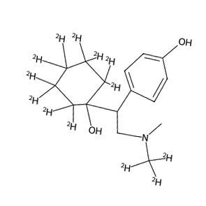 [2H]C([2H])([2H])N(C)CC(c1ccc(O)cc1)C1(O)C([2H])([2H])C([2H])([2H])C([2H])([2H])C([2H])([2H])C1([2H])[2H]